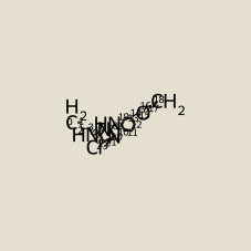 C=CCCNc1nc(Nc2cccc(COCC=C)c2)ncc1Cl